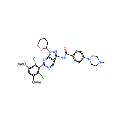 COc1cc(OC)c(Cl)c(-c2ncc3c(NC(=O)c4ccc(N5CCN(C)CC5)cc4)nn(C4CCCCO4)c3n2)c1Cl